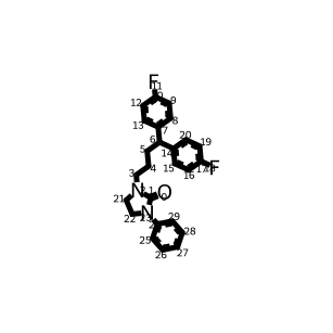 O=C1N(CCCC(c2ccc(F)cc2)c2ccc(F)cc2)CCN1c1ccccc1